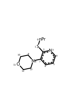 CCCSc1ncccc1N1CCOCC1